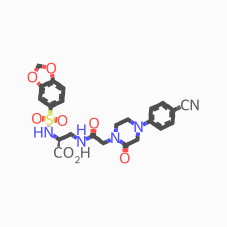 N#Cc1ccc(N2CCN(CC(=O)NC[C@H](NS(=O)(=O)c3ccc4c(c3)OCO4)C(=O)O)C(=O)C2)cc1